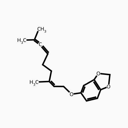 CC(C)=C=CCCC(C)=CCOc1ccc2c(c1)OCO2